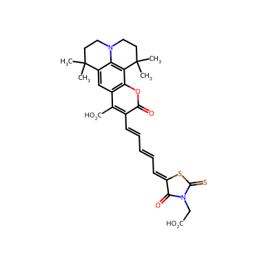 CC1(C)CCN2CCC(C)(C)c3c2c1cc1c(C(=O)O)c(C=CC=CC=C2SC(=S)N(CC(=O)O)C2=O)c(=O)oc31